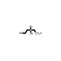 CC[N+](CCC(C)C)(CC(=O)O)C(C)C